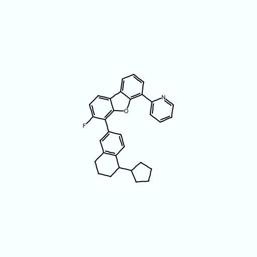 Fc1ccc2c(oc3c(-c4ccccn4)cccc32)c1-c1ccc2c(c1)CCCC2C1CCCC1